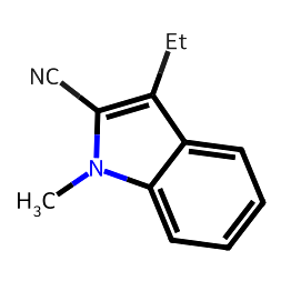 CCc1c(C#N)n(C)c2ccccc12